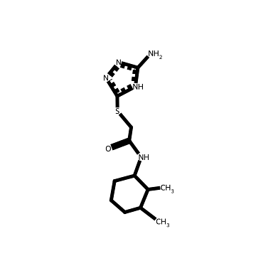 CC1CCCC(NC(=O)CSc2nnc(N)[nH]2)C1C